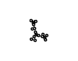 c1ccc(N(c2ccccc2)c2ccc(-c3ccc(N(c4ccc(-c5ccc(-c6ccc7c(c6)c6ccccc6n7-c6ccccc6)c6ccccc56)cc4)c4ccc5c6ccccc6c6ccccc6c5c4)cc3)c3ccccc23)cc1